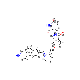 CCc1cc(CN2CCCC[C@@H]2COc2ccc3c(c2)CN(C2CCC(=O)NC2=O)C3=O)ccc1C1CCNCC1